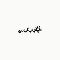 C/C(=C\CBr)CCCc1ccoc1